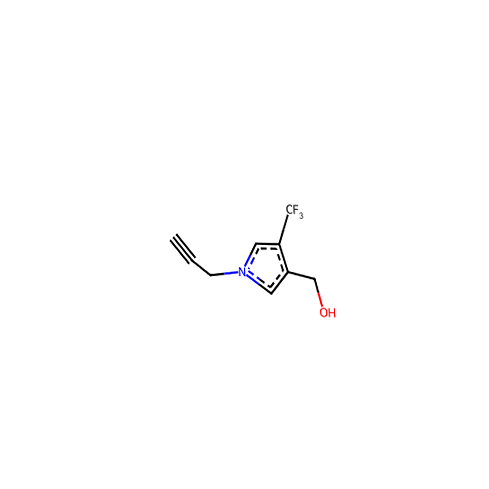 C#CCn1cc(CO)c(C(F)(F)F)c1